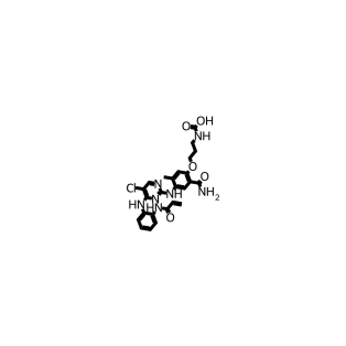 C=CC(=O)Nc1ccccc1Nc1nc(Nc2cc(C(N)=O)c(OCCCNC(=O)O)cc2C)ncc1Cl